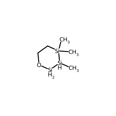 C[SiH]1[SiH2]OCC[Si]1(C)C